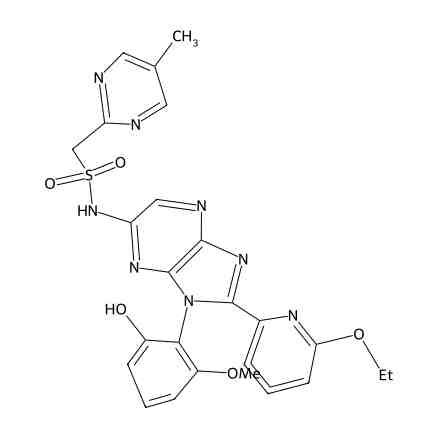 CCOC1=NC(c2nc3ncc(NS(=O)(=O)Cc4ncc(C)cn4)nc3n2-c2c(O)cccc2OC)=C=C=C1